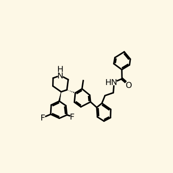 Cc1cc(-c2ccccc2CCNC(=O)c2ccccc2)ccc1[C@H]1CNCC[C@@H]1c1cc(F)cc(F)c1